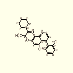 CC(Oc1ccc2c(-c3c(Cl)cccc3Cl)ccnc2c1)C(=O)N1CCCCC1